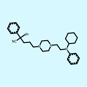 CC(C)C(C#N)(CCCN1CCN(CCN(c2ccccc2)C2CCCCC2)CC1)c1ccccc1